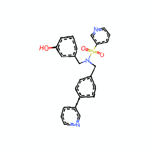 O=S(=O)(c1cccnc1)N(Cc1ccc(-c2cccnc2)cc1)Cc1cccc(O)c1